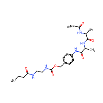 CCCCCCC(=O)N[C@H](C(=O)N[C@@H](C)C(=O)Nc1ccc(COC(=O)NCCNC(=O)CCC(C)(C)C)cc1)C(C)C